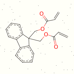 C=CC(=O)OCC1(COC(=O)C=C)c2ccccc2-c2ccccc21